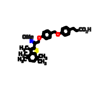 CON=C(COc1ccc(COc2ccc(CCC(=O)O)cc2)cc1)c1sc2c(c1C)C(C)(C)CCC2(C)C